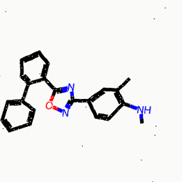 CNc1ccc(-c2noc(-c3ccccc3-c3ccccc3)n2)cc1C